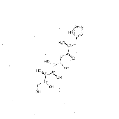 N[C@@H](Cc1cnc[nH]1)C(=O)OC(O)[C@@H](O)[C@@H](O)[C@H](O)[C@H](O)CO